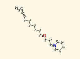 CC#CCCCCCCCOCCCN1CCCCC1